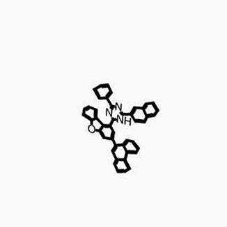 c1ccc(C2=NC(c3cc(-c4cc5ccccc5c5ccccc45)cc4oc5ccccc5c34)NC(c3ccc4ccccc4c3)=N2)cc1